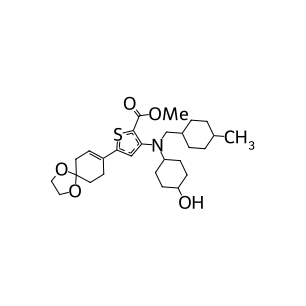 COC(=O)c1sc(C2=CCC3(CC2)OCCO3)cc1N(CC1CCC(C)CC1)C1CCC(O)CC1